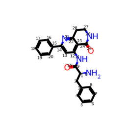 N[C@@H](Cc1ccccc1)C(=O)Nc1cc(-c2ccccc2)nc2c1C(=O)NCC2